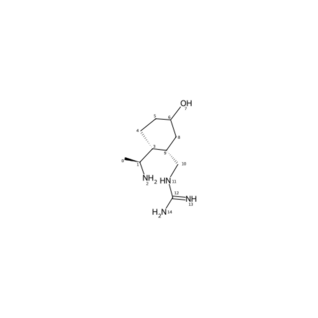 C[C@H](N)[C@@H]1CCC(O)C[C@@H]1CNC(=N)N